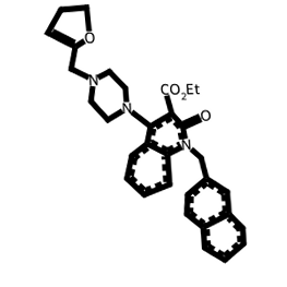 CCOC(=O)c1c(N2CCN(CC3=CCCO3)CC2)c2ccccc2n(Cc2ccc3ccccc3c2)c1=O